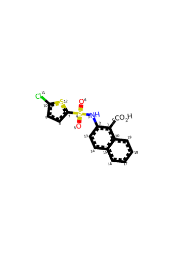 O=C(O)c1c(NS(=O)(=O)c2ccc(Cl)s2)ccc2ccccc12